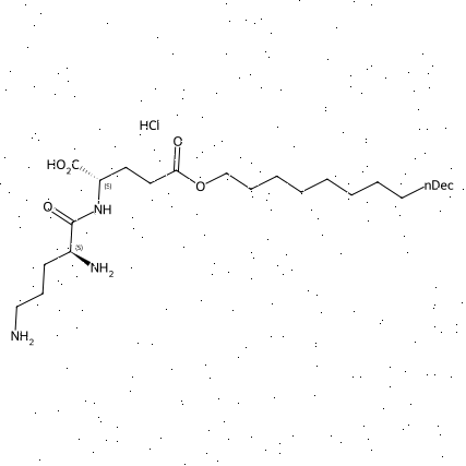 CCCCCCCCCCCCCCCCCCOC(=O)CC[C@H](NC(=O)[C@@H](N)CCCN)C(=O)O.Cl